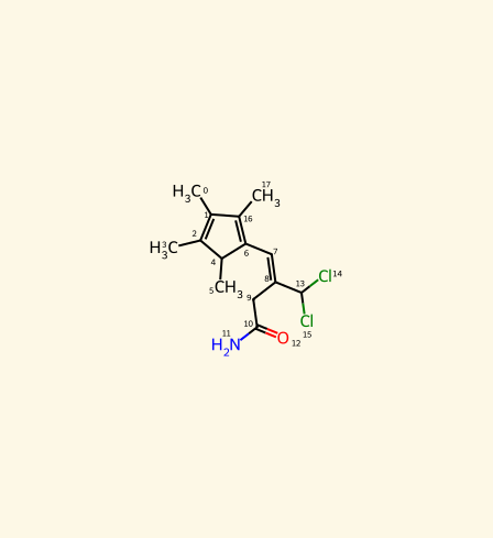 CC1=C(C)C(C)C(C=C(CC(N)=O)C(Cl)Cl)=C1C